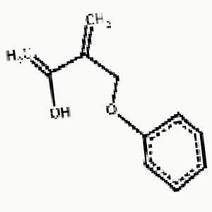 C=C(O)C(=C)COc1ccccc1